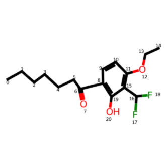 CCCCCCC(=O)c1ccc(OCC)c(C(F)F)c1O